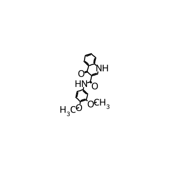 COc1ccc(NC(=O)c2c[nH]c3ccccc3c2=O)cc1OC